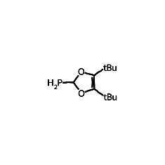 CC(C)(C)C1=C(C(C)(C)C)OC(P)O1